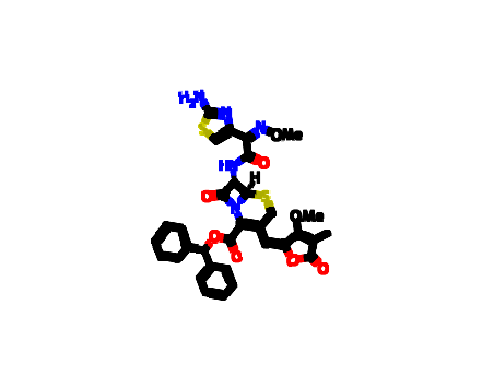 CO/N=C(\C(=O)N[C@@H]1C(=O)N2C(C(=O)OC(c3ccccc3)c3ccccc3)=C(/C=C3/OC(=O)C(C)=C3OC)CS[C@H]12)c1csc(N)n1